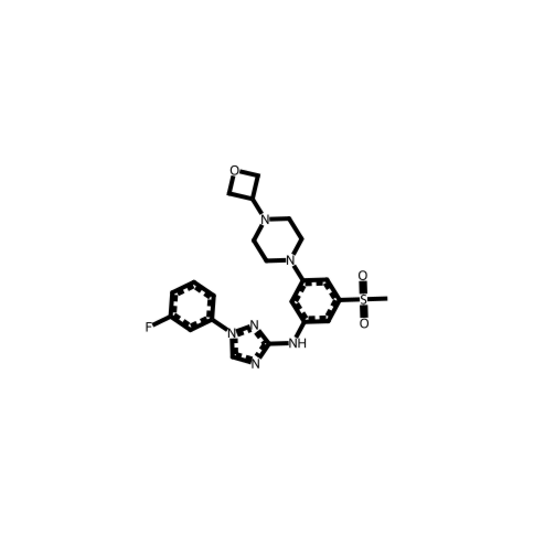 CS(=O)(=O)c1cc(Nc2ncn(-c3cccc(F)c3)n2)cc(N2CCN(C3COC3)CC2)c1